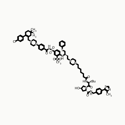 Cc1ncsc1-c1ccc(CNC(=O)[C@@H]2C[C@@H](O)CN2C(=O)[C@@H](NC(=O)CCCCCCN2CCN(CC[C@H](CSc3ccccc3)Nc3ccc(S(=O)(=O)NC(=O)c4ccc(N5CCN(CC6=C(c7ccc(Cl)cc7)CCC(C)(C)C6)CC5)cc4)cc3S(=O)(=O)C(F)(F)F)CC2)C(C)(C)C)cc1